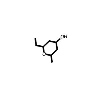 CCC1CC(O)CC(C)O1